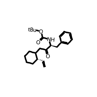 C=C[C@@H]1CCCCC1CC(=O)[C@H](Cc1ccccc1)NC(=O)OC(C)(C)C